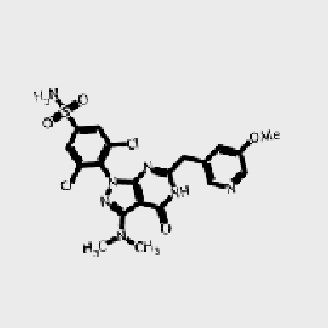 COc1cncc(Cc2nc3c(c(N(C)C)nn3-c3c(Cl)cc(S(N)(=O)=O)cc3Cl)c(=O)[nH]2)c1